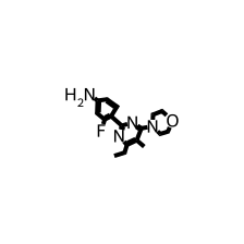 CCc1nc(-c2ccc(N)cc2F)nc(N2CCOCC2)c1C